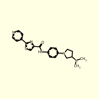 CN(C)C1CCN(c2ccc(NC(=O)c3csc(-c4ccncc4)n3)cc2)C1